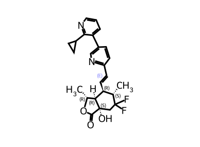 C[C@H]1OC(=O)[C@]2(O)CC(F)(F)[C@@H](C)[C@H](/C=C/c3ccc(-c4cccnc4C4CC4)cn3)[C@H]12